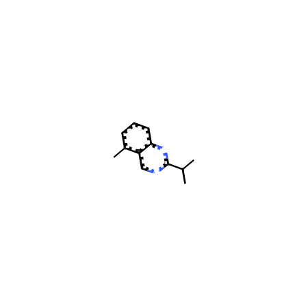 Cc1cccc2nc(C(C)C)ncc12